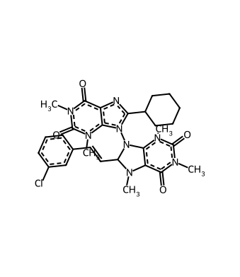 CN1c2c(n(C)c(=O)n(C)c2=O)N(n2c(C3CCCCC3)nc3c(=O)n(C)c(=O)n(C)c32)C1C=Cc1cccc(Cl)c1